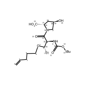 C=CCCCO[C@@H](CC)[C@H](NC(=O)OC(C)(C)C)C(=O)N1C[C@H](O)C[C@H]1C(=O)O